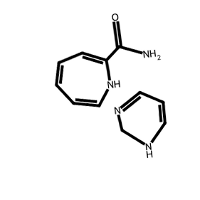 C1=CNCN=C1.NC(=O)C1=CC=CC=CN1